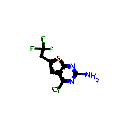 Nc1nc(Cl)c2cc(CC(F)(F)F)sc2n1